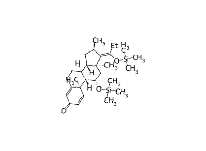 CC/C(O[Si](C)(C)C)=C1\[C@H](C)C[C@H]2[C@@H]3CCC4=CC(=O)C=C[C@]4(C)[C@H]3[C@@H](O[Si](C)(C)C)C[C@]12C